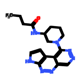 O=C(CCC(F)(F)F)NC1CCCN(c2nncc3nnc4[nH]ccc4c23)C1